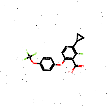 O=C(O)c1c(Oc2ccc(OC(F)(F)F)cc2)ccc(C2CC2)c1F